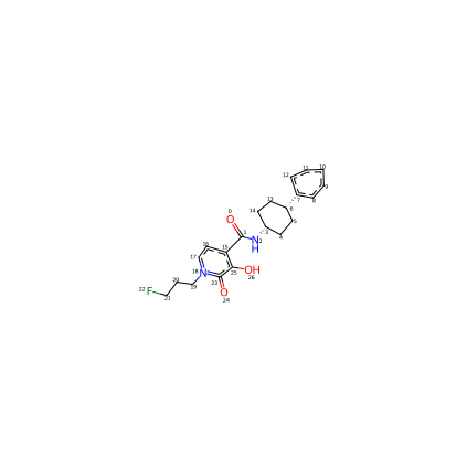 O=C(N[C@H]1CC[C@@H](c2ccccc2)CC1)c1ccn(CCCF)c(=O)c1O